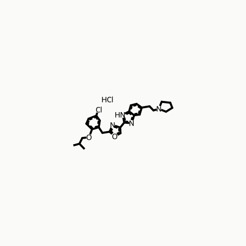 CC(C)COc1ccc(Cl)cc1Cc1nc(-c2nc3cc(CCN4CCCC4)ccc3[nH]2)co1.Cl